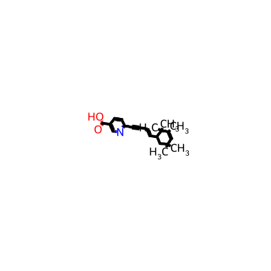 CC1=CC(C)(C)CC(C=CC#Cc2ccc(C(=O)O)cn2)C1(C)C